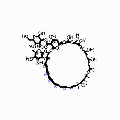 C[C@@H]1OC(=O)CC(O)CC(O)CCC(O)C(O)CC(O)CC2(O)C[C@H](O)C(C(=O)NC3C(O)OC(CO)C(O)C3O)[C@H](CC(O[C@@H]3O[C@H](C)C(O)[C@H](N)[C@@H]3O)/C=C/C=C/C=C/C=C/C=C/C=C/C=C/[C@H](C)C(O)[C@H]1C)O2